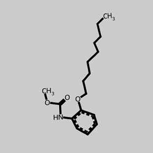 CCCCCCCCCOc1ccccc1NC(=O)OC